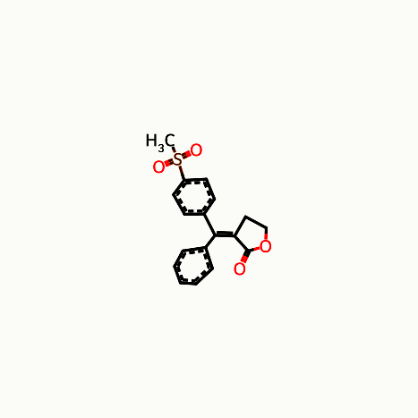 CS(=O)(=O)c1ccc(C(=C2CCOC2=O)c2ccccc2)cc1